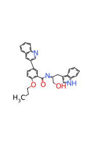 CCCOc1ccc(-c2cnc3ccccc3c2)cc1C(=O)/N=C(\CO)Cc1c[nH]c2ccccc12